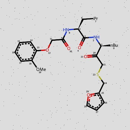 CCCC[C@H](NC(=O)[C@H](CC(C)C)NC(=O)COc1ccccc1OC)C(=O)CSCc1ccco1